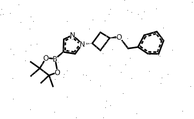 CC1(C)OB(c2cnn([C@H]3C[C@H](OCc4ccccc4)C3)c2)OC1(C)C